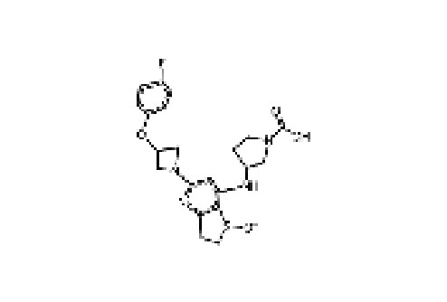 O=C(O)N1CC[C@H](Nc2cc(N3CC(Oc4ccc(F)cc4)C3)nc3c2[S+]([O-])CC3)C1